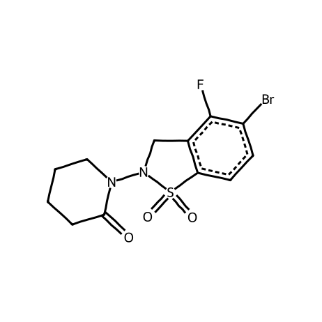 O=C1CCCCN1N1Cc2c(ccc(Br)c2F)S1(=O)=O